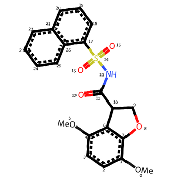 COc1ccc(OC)c2c1OCC2C(=O)NS(=O)(=O)c1cccc2ccccc12